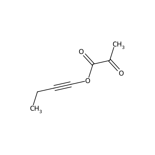 CCC#COC(=O)C(C)=O